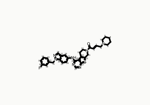 O=C(/C=C/CN1CCCCC1)N1CCc2c(sc3ncnc(Nc4ccc5c(cnn5Cc5cccc(F)c5)c4)c23)C1